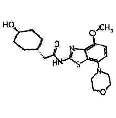 COc1ccc(N2CCOCC2)c2sc(NC(=O)C[C@H]3CC[C@H](O)CC3)nc12